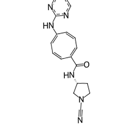 N#CN1CC[C@@H](NC(=O)C2=C/C=C\C(Nc3ncccn3)=C/C=C\2)C1